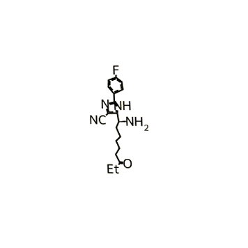 CCC(=O)CCCCC[C@H](N)c1[nH]c(-c2ccc(F)cc2)nc1C#N